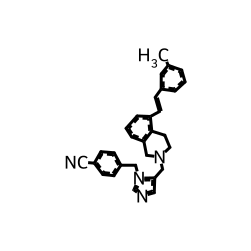 Cc1cccc(/C=C/c2cccc3c2CCN(Cc2cncn2Cc2ccc(C#N)cc2)C3)c1